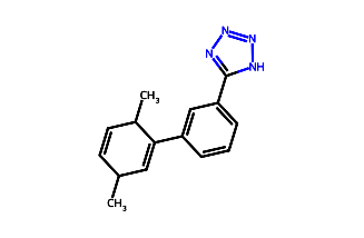 CC1C=CC(C)C(c2cccc(-c3nnn[nH]3)c2)=C1